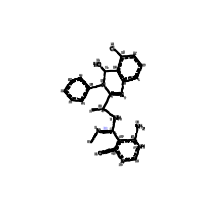 C/N=C(/N[C@@H](C)C1=Nc2cccc(Cl)c2C(O)N1c1ccccc1)c1c(N)[nH]cnc1=O